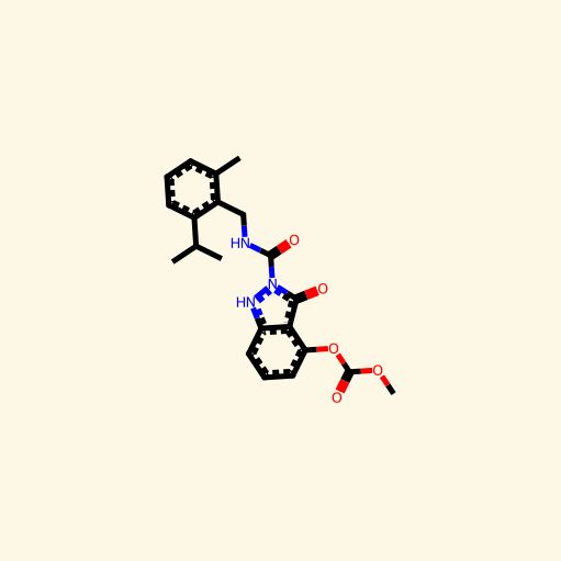 COC(=O)Oc1cccc2[nH]n(C(=O)NCc3c(C)cccc3C(C)C)c(=O)c12